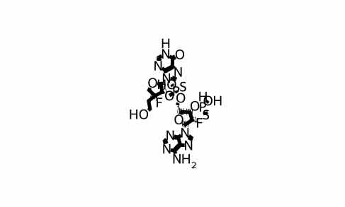 Nc1ncnc2c1ncn2[C@@H]1O[C@H](COP(O)(=S)O[C@H]2[C@H](n3cnc4c(=O)[nH]cnc43)OC[C@]2(F)CCO)[C@@H](O[PH](O)=S)[C@@H]1F